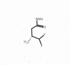 [CH2]NC(=O)C[C@@H](C)C(F)F